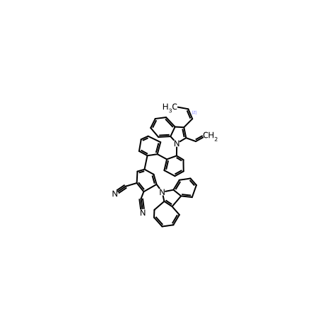 C=Cc1c(/C=C\C)c2ccccc2n1-c1ccccc1-c1ccccc1-c1cc(C#N)c(C#N)c(-n2c3c(c4ccccc42)C=CC=CC3)c1